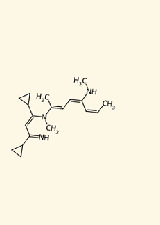 C\C=C/C(=C\C=C(/C)N(C)/C(=C\C(=N)C1CC1)C1CC1)NC